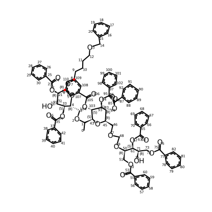 CC(OC[C@H]1O[C@@H](OCCCCCOCc2ccccc2)[C@H](OC(=O)c2ccccc2)[C@@H](O)[C@@H]1OC(=O)c1ccccc1)[C@@H]1O[C@H](COCO[C@H](COC(=O)c2ccccc2)[C@@H](OC(=O)c2ccccc2)[C@H](O)COC(=O)c2ccccc2)[C@@H](OC(=O)c2ccccc2)[C@H](OC(=O)c2ccccc2)[C@H]1OC(=O)c1ccccc1